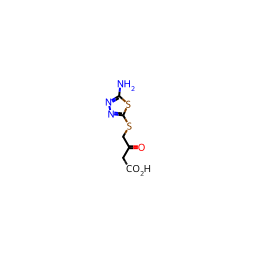 Nc1nnc(SCC(=O)CC(=O)O)s1